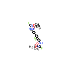 CC(C)(C)OC(=O)N1C[C@@H](F)C[C@H]1C(=O)Nc1ccc2c(c1)C(F)(F)c1cc(-c3ccc(-c4cnc([C@@H]5C[C@H](F)CN5C(=O)OC(C)(C)C)[nH]4)cc3)ccc1-2